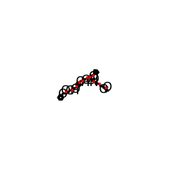 C=C(C)C(=O)OCCCCCNC(=O)OC(COCCOc1ccc(OCCOCC(O)COc2ccccc2)cc1)COc1ccccc1